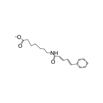 COC(=O)CCCCCCNC(=O)C=CC=Cc1ccccc1